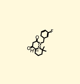 CC1(C)CCC[C@H]2C(=O)CC(=O)N(CC3C=C(F)C=CC3)N21